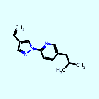 C=Cc1cnn(-c2ccc(CC(C)C)cn2)c1